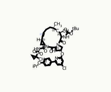 CC(C)Oc1ccc(-c2cc(Cl)cc(O[C@@H]3C[C@H]4C(=O)N[C@]5(C(=O)NS(=O)(=O)C6(C)CC6)C[C@H]5/C=C\CC[C@H](C)C[C@@H](C)[C@H](NC(=O)OC(C)(C)C)C(=O)N4C3)n2)cc1